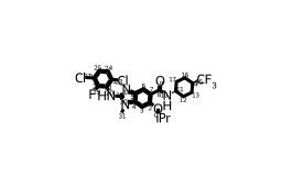 CC(C)Oc1cc2c(cc1C(=O)N[C@H]1CC[C@H](C(F)(F)F)CC1)nc(Nc1c(Cl)ccc(Cl)c1F)n2C